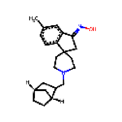 Cc1ccc2c(c1)/C(=N/O)CC21CCN(CC2C[C@H]3CC[C@@H]2C3)CC1